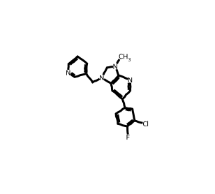 CN1CN(Cc2cccnc2)c2cc(-c3ccc(F)c(Cl)c3)cnc21